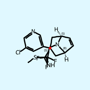 CSC(=N)[C@@]1(c2cncc(Cl)c2)C[C@H]2C=C[C@@H](C1)N2CC(F)(F)F